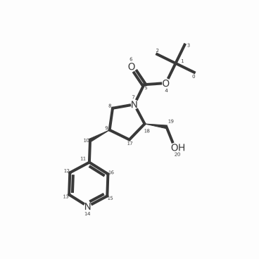 CC(C)(C)OC(=O)N1C[C@H](Cc2ccncc2)C[C@@H]1CO